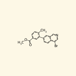 COC(=O)c1ccc(C)c(-c2ccc3c(Br)cncc3c2)c1